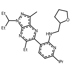 CCc1nc2c(nc1-c1ccc(C(C)C)nc1NCC1CCCO1)c(C)nn2C(CC)CC